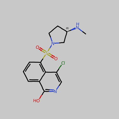 CN[C@@H]1CCN(S(=O)(=O)c2cccc3c(O)ncc(Cl)c23)C1